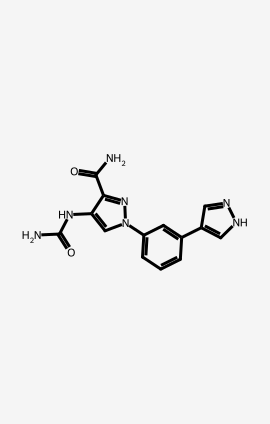 NC(=O)Nc1cn(-c2cccc(-c3cn[nH]c3)c2)nc1C(N)=O